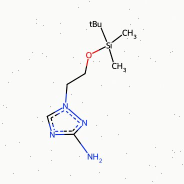 CC(C)(C)[Si](C)(C)OCCn1cnc(N)n1